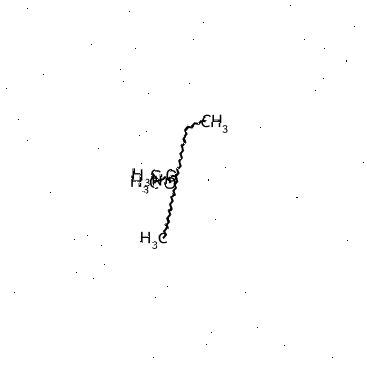 CCCCCC=CCC=CCCCCCCCCC(CCCCCCCCC=CC/C=C\CCCCC)OC(=O)CCN(C)C